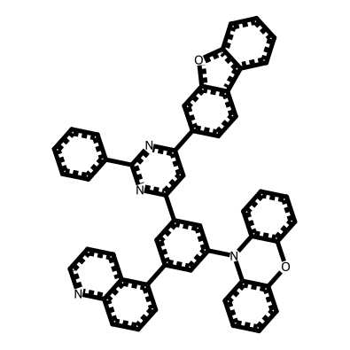 c1ccc(-c2nc(-c3cc(-c4cccc5ncccc45)cc(N4c5ccccc5Oc5ccccc54)c3)cc(-c3ccc4c(c3)oc3ccccc34)n2)cc1